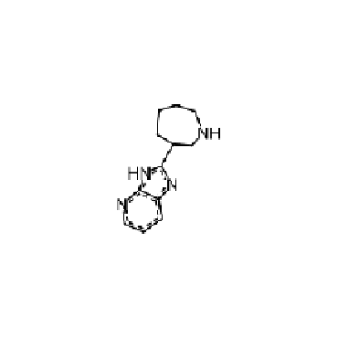 c1cnc2[nH]c(C3CCCCNC3)nc2c1